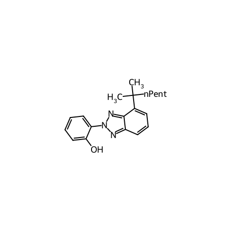 CCCCCC(C)(C)c1cccc2nn(-c3ccccc3O)nc12